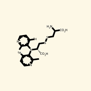 [2H]c1ccnc(C)c1N(c1c([2H])ccnc1C)[C@H](CSSCC(N)C(=O)O)C(=O)O